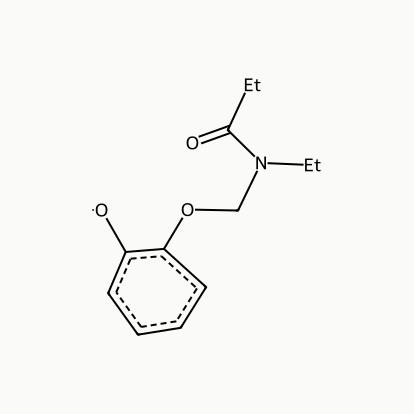 CCC(=O)N(CC)COc1ccccc1[O]